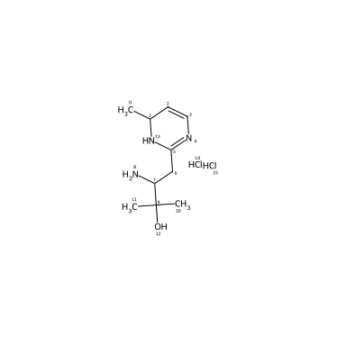 CC1C=CN=C(CC(N)C(C)(C)O)N1.Cl.Cl